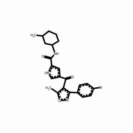 Cc1onc(-c2ccc(Br)cc2)c1C(=O)c1c[nH]c(C(=O)NC2CCCC(C)C2)c1